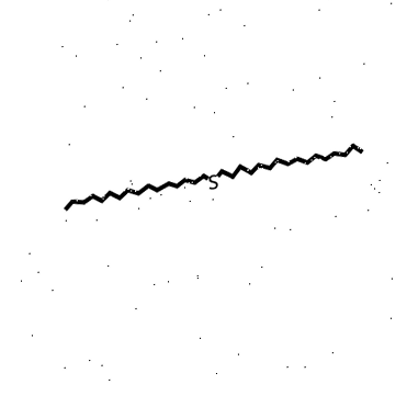 CCCCCCCCCCCCCCCCSCCCCCCCCCCCCCCCC